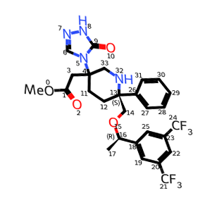 COC(=O)CC1(n2cn[nH]c2=O)CC[C@@](CO[C@H](C)c2cc(C(F)(F)F)cc(C(F)(F)F)c2)(c2ccccc2)NC1